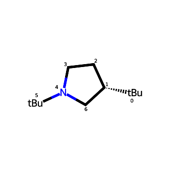 CC(C)(C)[C@H]1CCN(C(C)(C)C)C1